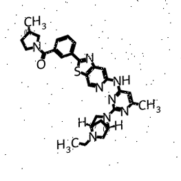 CCN1C[C@@H]2C[C@H]1CN2c1nc(C)cc(Nc2cc3nc(-c4cccc(C(=O)N5CC[C@@H](C)C5)c4)sc3cn2)n1